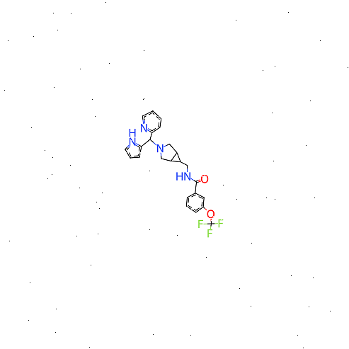 O=C(NCC1C2CN(C(c3ccccn3)c3ccc[nH]3)CC12)c1cccc(OC(F)(F)F)c1